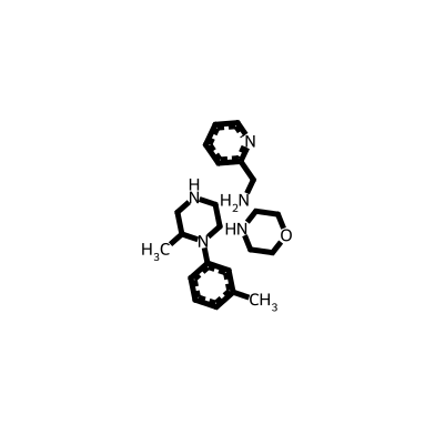 C1COCCN1.Cc1cccc(N2CCNCC2C)c1.NCc1ccccn1